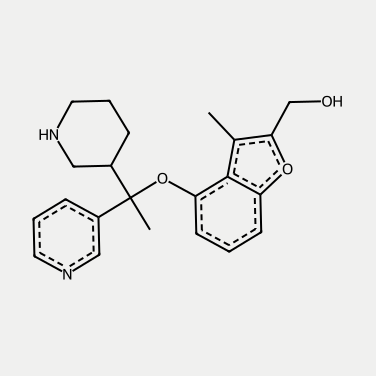 Cc1c(CO)oc2cccc(OC(C)(c3cccnc3)C3CCCNC3)c12